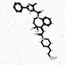 Cc1nc(-c2ccccc2)sc1C(=O)N1CCC(F)(F)/C(=C\C(=O)N2CCC(CCC(=O)O)CC2)c2ccccc21